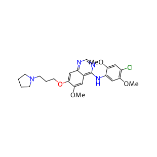 COc1cc(Nc2ncnc3cc(OCCCN4CCCC4)c(OC)cc23)c(OC)cc1Cl